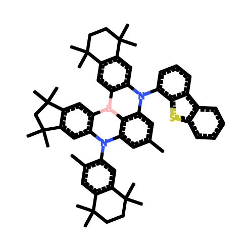 Cc1cc2c3c(c1)N(c1cccc4c1sc1ccccc14)c1cc4c(cc1B3c1cc3c(cc1N2c1cc2c(cc1C)C(C)(C)CCC2(C)C)C(C)(C)CC3(C)C)C(C)(C)CCC4(C)C